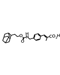 CC(=Cc1ccc(CNC(=O)OCCC2C3CC4CC(C3)CC2C4)cc1)C(=O)O